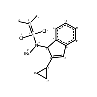 C[Si](C)=[Zr]([Cl])([Cl])[N](C1C(C2CC2)=Cc2ccccc21)C(C)(C)C